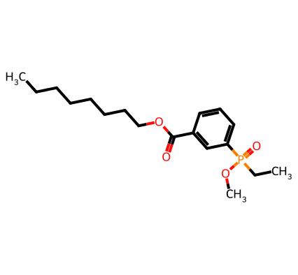 CCCCCCCCOC(=O)c1cccc(P(=O)(CC)OC)c1